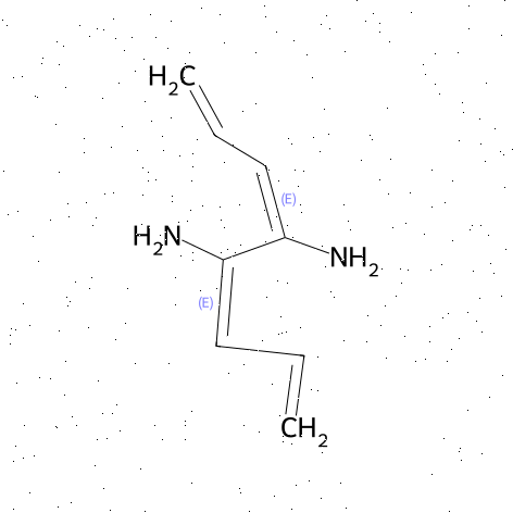 C=C/C=C(N)\C(N)=C/C=C